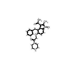 CCn1c(C)c(C(N)=O)c2c(Cc3ccccc3)c(OCC(=O)N3CCOCC3)ccc21